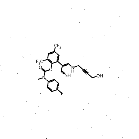 CN(C(=O)Oc1c(/C(C=N)=C/NCC#CCO)cc(C(F)(F)F)cc1C(F)(F)F)c1ccc(F)cc1